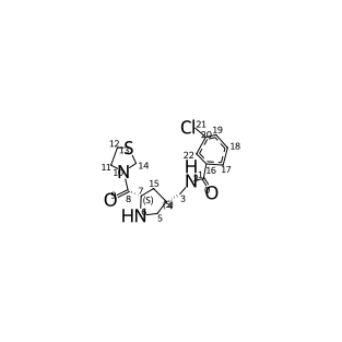 O=C(NC[C@@H]1CN[C@H](C(=O)N2CCSC2)C1)c1cccc(Cl)c1